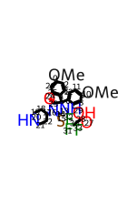 COc1ccc(C2(c3ccc(OC)cc3)NC(=S)N(C3CCNCC3)C2=O)cc1.O=C(O)C(F)(F)F